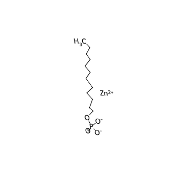 CCCCCCCCCCCCOP(=O)([O-])[O-].[Zn+2]